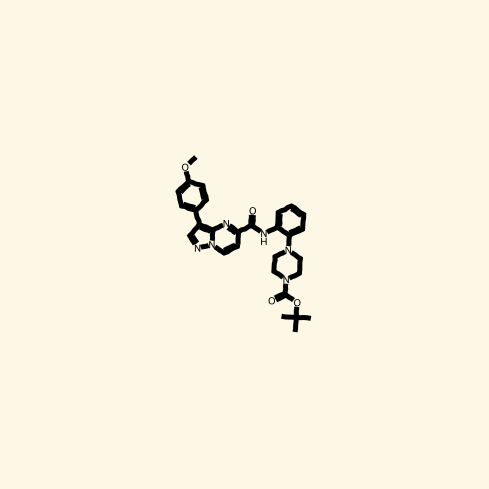 COc1ccc(-c2cnn3ccc(C(=O)Nc4ccccc4N4CCN(C(=O)OC(C)(C)C)CC4)nc23)cc1